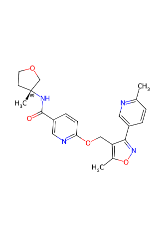 Cc1ccc(-c2noc(C)c2COc2ccc(C(=O)N[C@]3(C)CCOC3)cn2)cn1